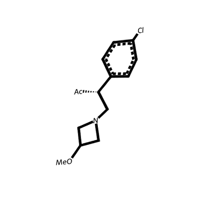 COC1CN(C[C@H](C(C)=O)c2ccc(Cl)cc2)C1